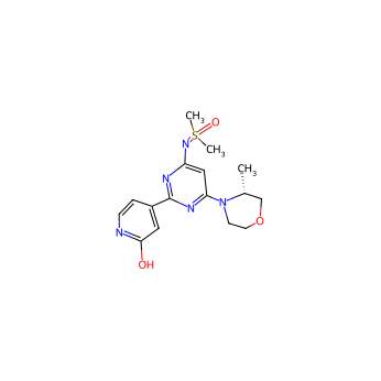 C[C@@H]1COCCN1c1cc(N=S(C)(C)=O)nc(-c2ccnc(O)c2)n1